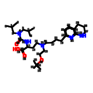 CC(C)CN(CC(C)C)C(=O)NC(CCN(CCCCc1ccc2c(n1)NCCC2)CCOC(C)(C)C)C(=O)O